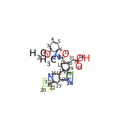 COc1ccccc1N(C)C(=O)c1cc(-c2cnc(C(F)(F)F)cc2C#N)c(Cl)cc1CC(=O)O